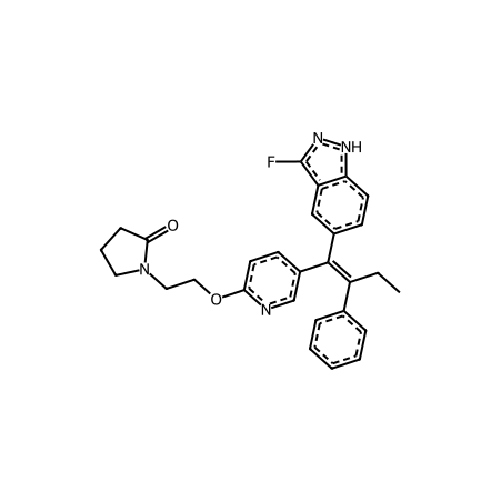 CC/C(=C(/c1ccc(OCCN2CCCC2=O)nc1)c1ccc2[nH]nc(F)c2c1)c1ccccc1